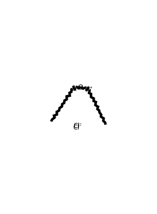 CCCCCCCCCCCCCCCCCC[N+](C)(C)CCOCC[N+](C)(C)CCCCCCCCCCCCCCCCCC.[Cl-].[Cl-]